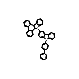 c1ccc(-c2ccc(-n3c4ccccc4c4cc(-n5c6ccccc6c6c7ccccc7c7ccccc7c65)ccc43)cc2)cc1